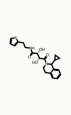 O=C(NCCc1cccs1)[C@H](O)[C@@H](O)C(=O)N1CCc2ccccc2C1C1CC1